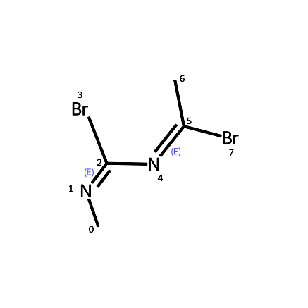 C/N=C(Br)\N=C(/C)Br